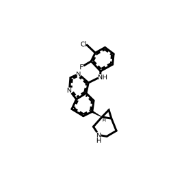 Fc1c(Cl)cccc1Nc1ncnc2ccc([C@]34CNCCC3C4)cc12